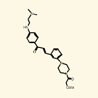 COCC(=O)N1CCN(c2cccc(C=CC(=O)c3ccc(NCCN(C)C)cc3)c2)CC1